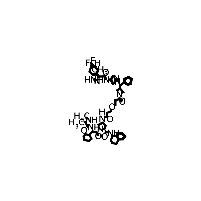 CNC(C)C(=O)NC(C(=O)N1C[C@@H](NC(=O)CCOCCC(=O)N2CC(C(c3ccccc3)n3cc(NC(=O)c4n[nH]c5c4C[C@@H]4C(F)(F)[C@]4(C)C5)cn3)C2)C[C@H]1C(=O)N[C@@H]1CCCc2ccccc21)C1CCCCC1